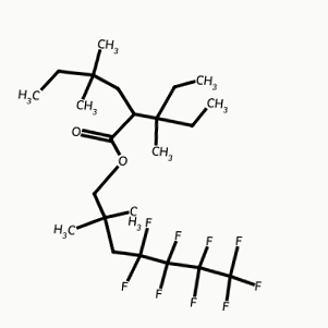 CCC(C)(C)CC(C(=O)OCC(C)(C)CC(F)(F)C(F)(F)C(F)(F)C(F)(F)F)C(C)(CC)CC